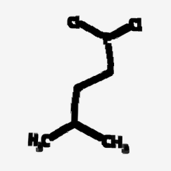 CC(C)CCP(Cl)Cl